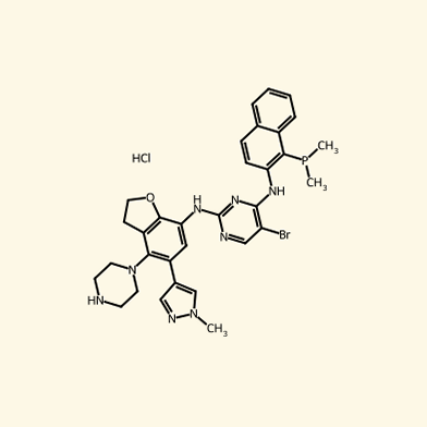 Cl.Cn1cc(-c2cc(Nc3ncc(Br)c(Nc4ccc5ccccc5c4P(C)C)n3)c3c(c2N2CCNCC2)CCO3)cn1